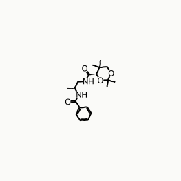 C[C@@H](CNC(=O)[C@@H]1OC(C)(C)OCC1(C)C)NC(=O)c1ccccc1